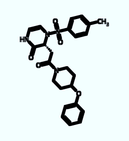 Cc1ccc(S(=O)(=O)N2C=CNC(=O)[C@H]2CC(=O)N2CCC(Oc3ccccc3)CC2)cc1